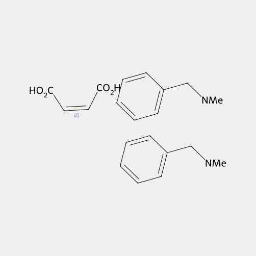 CNCc1ccccc1.CNCc1ccccc1.O=C(O)/C=C\C(=O)O